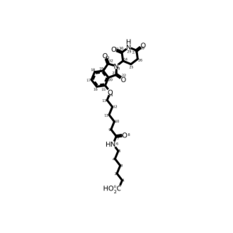 O=C(O)CCCCCNC(=O)CCCCCOc1cccc2c1C(=O)N(C1CCC(=O)NC1=O)C2=O